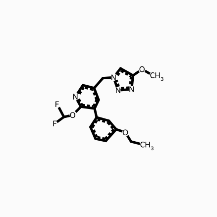 CCOc1cccc(-c2cc(Cn3cc(OC)nn3)cnc2OC(F)F)c1